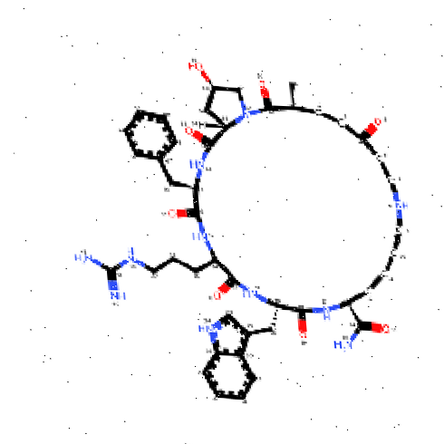 C[C@H]1CCC(=O)CCNCCCC[C@@H](C(N)=O)NC(=O)[C@H](Cc2c[nH]c3ccccc23)NC(=O)C(CCCNC(=N)N)NC(=O)[C@@H](Cc2ccccc2)NC(=O)[C@@H]2C[C@@H](O)CN2C1=O